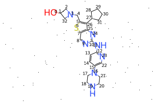 OC1CN(Cc2sc3cnc(Nc4ccc(N5CCNCC5)cn4)nc3c2C2CCCC2)C1